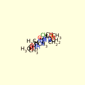 C=NC(=C)/C(=C\C[C@H](C(C)Cl)n1cc(C(=O)NCc2c(C)cc(NC(=O)OC(C)(C)C)nc2C)c(C#N)n1)S(C)(=O)=O